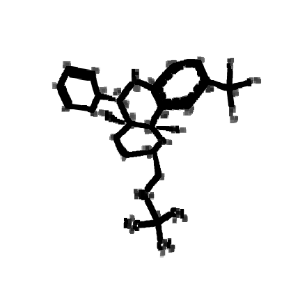 CC(C)(C)NC[C@H]1CC[C@@H]2[C@H](O1)c1cc(C(F)(F)F)ccc1N[C@H]2C1C=CC=CC1